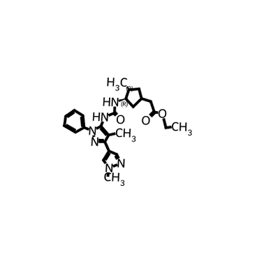 CCOC(=O)CC1C[C@@H](C)[C@H](NC(=O)Nc2c(C)c(-c3cnn(C)c3)nn2-c2ccccc2)C1